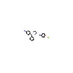 N#Cc1ccc([C@@H](c2ccc(Cl)cc2)N2CC[C@@H](NC(=O)c3ccc(OC(F)(F)F)cc3)C2)cc1